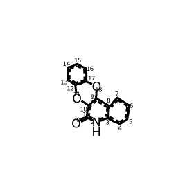 O=c1[nH]c2ccccc2c2c1Oc1ccccc1O2